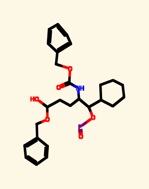 O=POC(C1CCCCC1)C(CCC(O)OCc1ccccc1)NC(=O)OCc1ccccc1